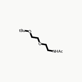 CC(=O)NCCOCCOC(C)(C)C